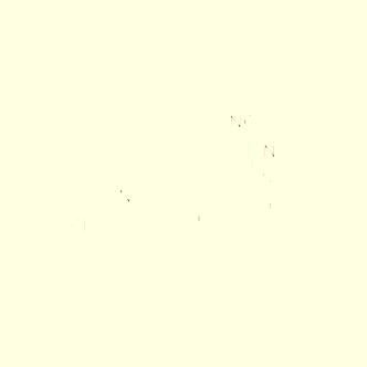 C[C@@H](C/S(O)=N\C#N)c1ccc(Cl)nc1